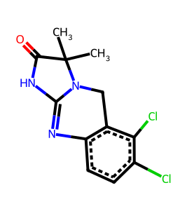 CC1(C)C(=O)NC2=Nc3ccc(Cl)c(Cl)c3CN21